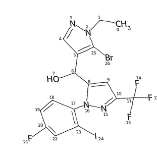 CCn1ncc(C(O)c2cc(C(F)(F)F)nn2-c2ccc(F)cc2I)c1Br